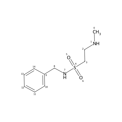 CNCCS(=O)(=O)NCc1ccccc1